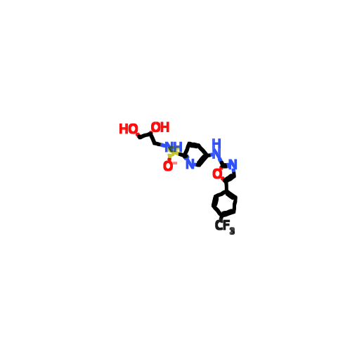 [O-][S+](NCC(O)CO)c1ccc(Nc2ncc(-c3ccc(C(F)(F)F)cc3)o2)cn1